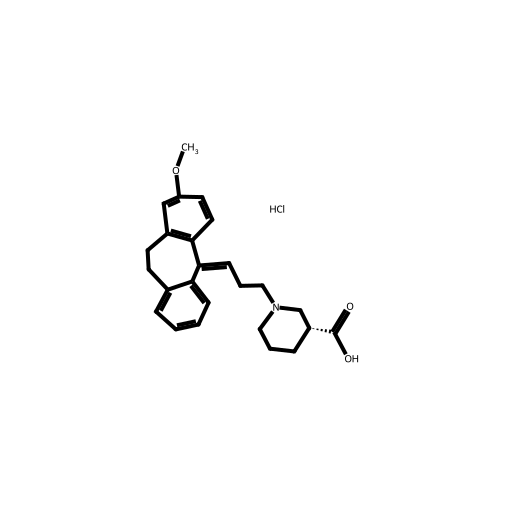 COc1ccc2c(c1)CCc1ccccc1C2=CCCN1CCC[C@@H](C(=O)O)C1.Cl